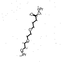 CCCOC(=O)CCCOCCOCCOC(C)C